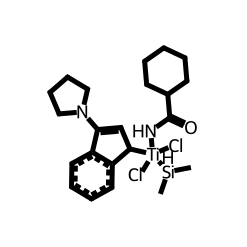 C[SiH](C)[Ti]([Cl])([Cl])([NH]C(=O)C1CCCCC1)[CH]1C=C(N2CCCC2)c2ccccc21